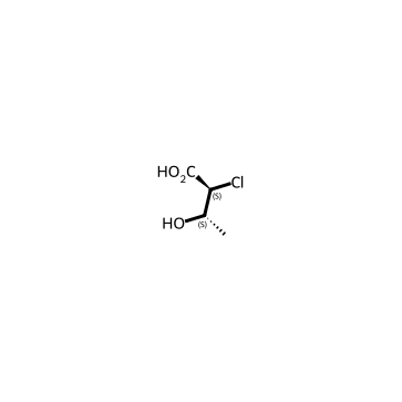 C[C@H](O)[C@H](Cl)C(=O)O